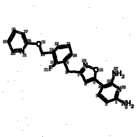 Nc1ccc(-c2cc(Cc3cccc(COc4ccccn4)c3F)no2)c(N)n1